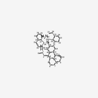 C=C/C=c1/c2cccc3cc#cc(c4ccc(N([C@H](N)c5ccccc5C=C)[C@@H]5NC=Cc6ccccc65)c(C)c14)c32